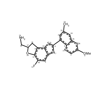 COc1cnc2c(-c3nc4cc(F)c5c(c4s3)CC(CN)O5)cc(C)cc2n1